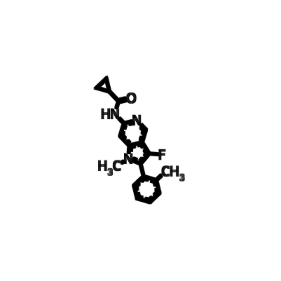 Cc1ccccc1-c1c(F)c2cnc(NC(=O)C3CC3)cc2n1C